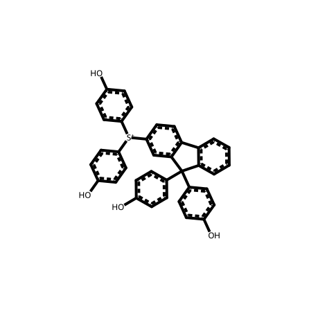 Oc1ccc([S+](c2ccc(O)cc2)c2ccc3c(c2)C(c2ccc(O)cc2)(c2ccc(O)cc2)c2ccccc2-3)cc1